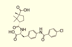 CC1(C)[C@@H](C(=O)N[C@@H](Cc2ccc(NC(=O)c3ccc(Cl)cc3)cc2)C(=O)O)CC[C@@]1(C)C(=O)O